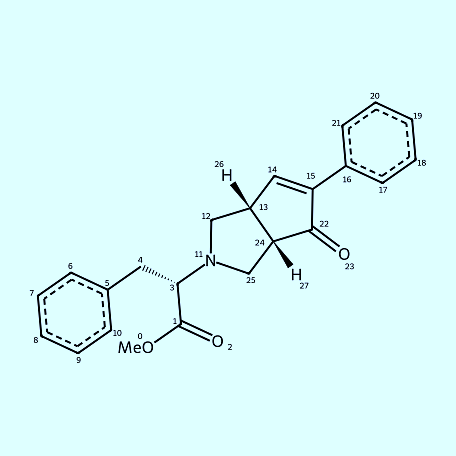 COC(=O)[C@H](Cc1ccccc1)N1C[C@@H]2C=C(c3ccccc3)C(=O)[C@@H]2C1